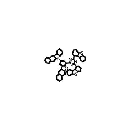 c1ccc2cc3c(cc2c1)oc1c(-c2nc(-c4cccc5sc6ccccc6c45)nc(-c4cccc5sc6ccccc6c45)n2)cc(-n2c4ccccc4c4cc5ccccc5cc42)cc13